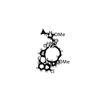 COc1nn(C2CC2)cc1C(=O)N[S@@]1(=O)=NC(=O)c2ccc3c(c2)N(C[C@@H]2CC[C@H]2[C@@H](OC)/C=C/CCC1)C[C@@]1(CCCc2cc(Cl)ccc21)CO3